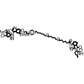 C=C1CCC(N2C(=O)c3cccc(NC(=O)CCCCCOCCCCCOCCCCCCN4CCN(CCCOc5cc6ncc(C#N)c(Nc7cc(OC)c(Cl)cc7Cl)c6cc5OC)CC4)c3C2=O)C(=O)N1